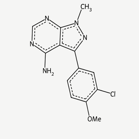 COc1ccc(-c2nn(C)c3ncnc(N)c23)cc1Cl